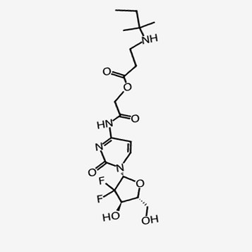 CCC(C)(C)NCCC(=O)OCC(=O)Nc1ccn([C@@H]2O[C@H](CO)[C@@H](O)C2(F)F)c(=O)n1